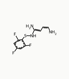 N/C=C\C=C(/N)NSc1c(F)cc(F)cc1F